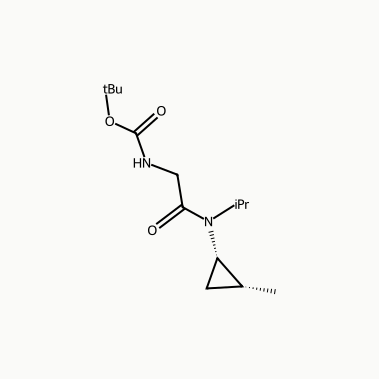 CC(C)N(C(=O)CNC(=O)OC(C)(C)C)[C@H]1C[C@H]1C